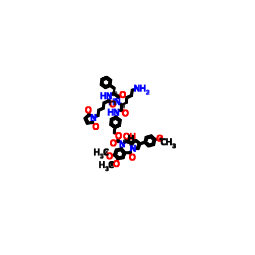 COc1ccc(C2=CN3C(=O)c4cc(OC)c(OC)cc4N(C(=O)OCc4ccc(NC(=O)[C@H](CCCCN)NC(=O)[C@H](Cc5ccccc5)NC(=O)CCCCN5C(=O)C=CC5=O)cc4)[C@@H](O)[C@@H]3C2)cc1